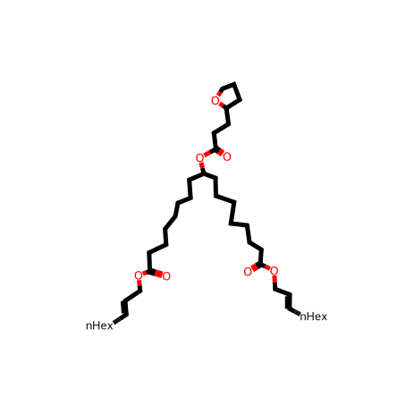 CCCCCC/C=C/COC(=O)CCCCCCCC(CCCCCCCC(=O)OC/C=C/CCCCCC)OC(=O)CCC1CCCO1